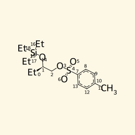 CC[C@H](COS(=O)(=O)c1ccc(C)cc1)O[Si](CC)(CC)CC